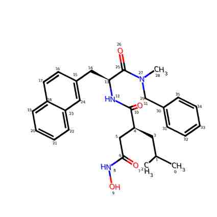 CC(C)C[C@@H](CC(=O)NO)C(=O)N[C@@H](Cc1ccc2ccccc2c1)C(=O)N(C)Cc1ccccc1